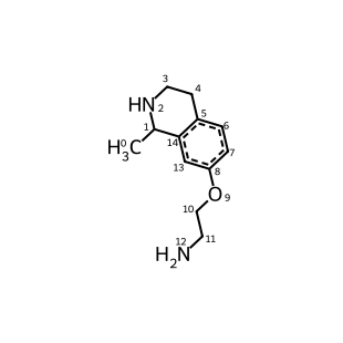 CC1NCCc2ccc(OCCN)cc21